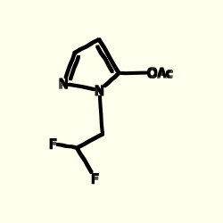 CC(=O)Oc1ccnn1CC(F)F